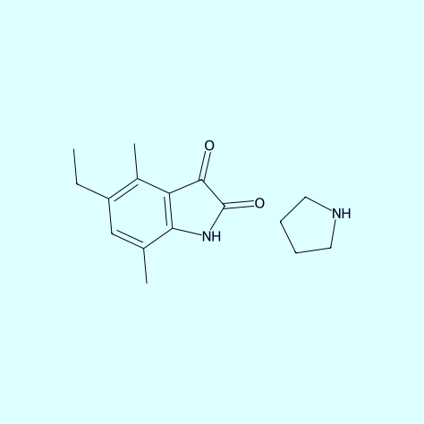 C1CCNC1.CCc1cc(C)c2c(c1C)C(=O)C(=O)N2